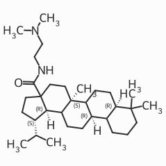 CC(C)[C@@H]1CCC2(C(=O)NCCN(C)C)CC[C@@]3(C)C4CC[C@@H]5C(CCCC5(C)C)[C@H]4CCC3[C@@H]12